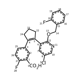 O=C(O)c1cc(C2=C(c3cc(Cl)cnc3OCc3ccccc3F)CCC2)ccc1F